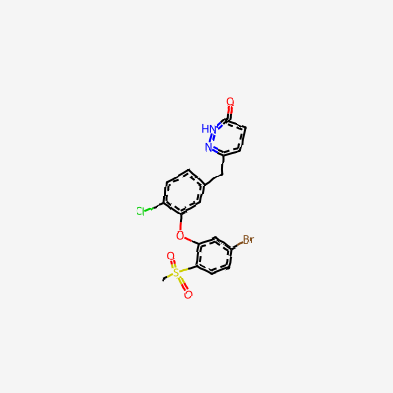 CS(=O)(=O)c1ccc(Br)cc1Oc1cc(Cc2ccc(=O)[nH]n2)ccc1Cl